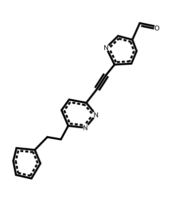 O=Cc1ccc(C#Cc2ccc(CCc3ccccc3)nn2)nc1